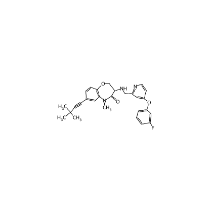 CN1C(=O)C(NCc2cc(Oc3cccc(F)c3)ccn2)COc2ccc(C#CC(C)(C)C)cc21